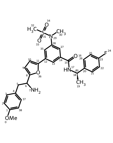 COc1ccc(CC(N)c2ccc(-c3cc(C(=O)N[C@H](C)c4ccc(F)cc4)cc(N(C)S(C)(=O)=O)c3)o2)cc1